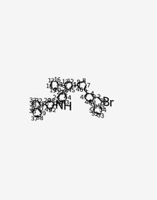 Brc1cc2cc(-c3cccc(-c4ccc(-c5ccccc5)c(-c5ccc(Nc6ccc(-c7cccc8ccccc78)cc6)cc5)c4)c3)ccc2c2ccccc12